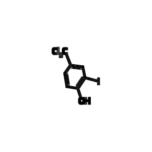 Oc1ccc(C(Cl)(Cl)Cl)cc1I